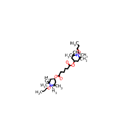 CCCON1C(C)(C)CC(OC(=O)CCCCC(=O)OC2CC(C)(C)N(OCCC)C(C)(C)C2)CC1(C)C